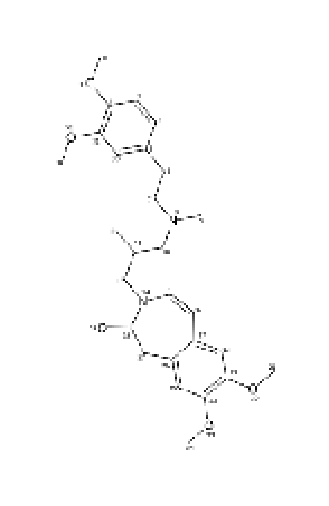 COc1ccc(CCN(C)CC(C)CN2C=Cc3cc(OC)c(OC)cc3CC2=O)cc1OC